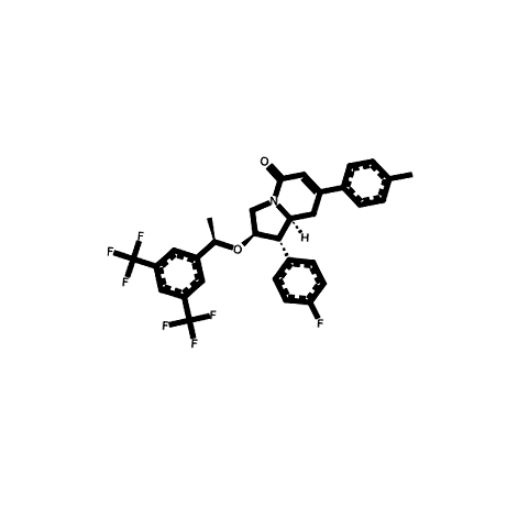 Cc1ccc(C2=CC(=O)N3C[C@H](O[C@H](C)c4cc(C(F)(F)F)cc(C(F)(F)F)c4)[C@@H](c4ccc(F)cc4)[C@@H]3C2)cc1